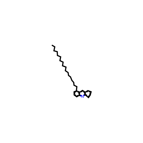 CCCCCCCCCCCCCCCCCCc1cccc2nc3ccccc3cc12